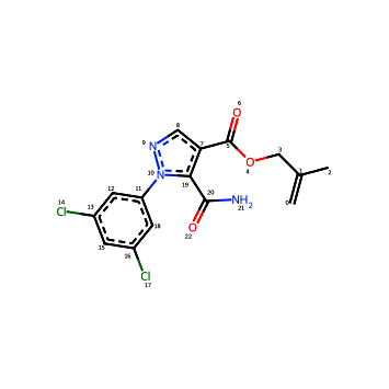 C=C(C)COC(=O)c1cnn(-c2cc(Cl)cc(Cl)c2)c1C(N)=O